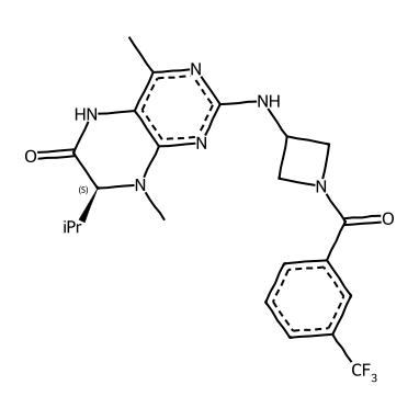 Cc1nc(NC2CN(C(=O)c3cccc(C(F)(F)F)c3)C2)nc2c1NC(=O)[C@H](C(C)C)N2C